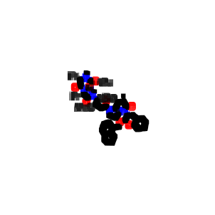 CC[C@H](C)[C@@H]([C@@H](CC(=O)N1CCC[C@H]1[C@H](OC)[C@@H](C)C(=O)N[C@@H](Cc1ccccc1)C(=O)OCc1cccc2ccccc12)OC)N(C)C(=O)[C@@H](NC(=O)[C@H](C(C)C)N(C)C(=O)OC(C)(C)C)C(C)C